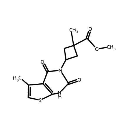 COC(=O)C1(C)CC(n2c(=O)[nH]c3scc(C)c3c2=O)C1